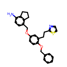 Nc1ccc(COc2ccc(OCc3ccccc3)c(CCc3nccs3)c2)c2c1CCC2